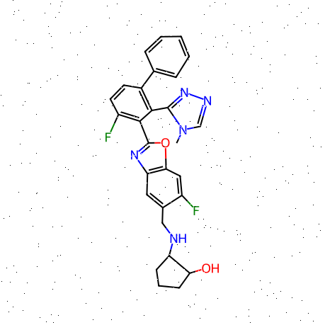 Cn1cnnc1-c1c(-c2ccccc2)ccc(F)c1-c1nc2cc(CNC3CCCC3O)c(F)cc2o1